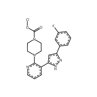 O=C(OCl)N1CCN(c2ncccc2-c2cc(-c3cccc(F)c3)n[nH]2)CC1